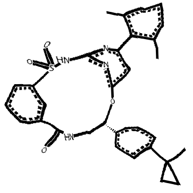 Cc1cccc(C)c1-c1cc2nc(n1)NS(=O)(=O)c1cccc(c1)C(=O)NC[C@@H](c1ccc(C3(C)CC3)cc1)O2